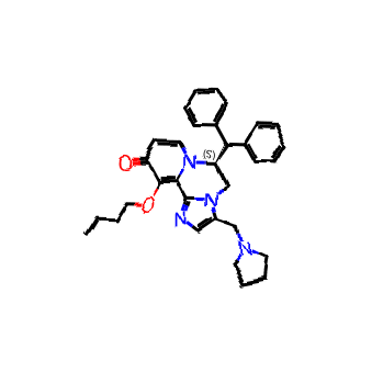 CCCCOc1c2n(ccc1=O)[C@@H](C(c1ccccc1)c1ccccc1)Cn1c(CN3CCCC3)cnc1-2